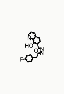 Oc1c(-c2nnc(Cc3ccc(F)cc3)o2)ccc2cccnc12